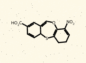 O=C(O)C1=CC2=COC3=C(CCC=C3[N+](=O)[O-])SC2C=C1